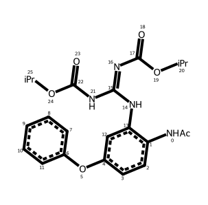 CC(=O)Nc1ccc(Oc2ccccc2)cc1NC(=NC(=O)OC(C)C)NC(=O)OC(C)C